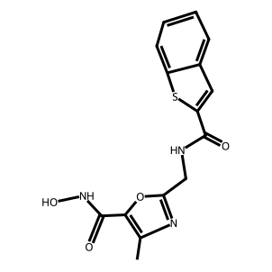 Cc1nc(CNC(=O)c2cc3ccccc3s2)oc1C(=O)NO